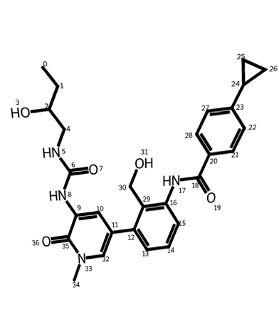 CCC(O)CNC(=O)Nc1cc(-c2cccc(NC(=O)c3ccc(C4CC4)cc3)c2CO)cn(C)c1=O